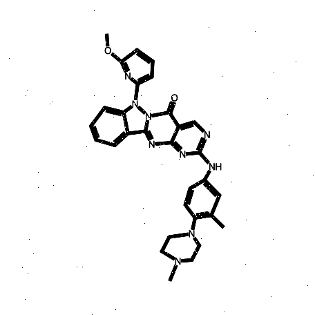 COc1cccc(-n2c3ccccc3c3nc4nc(Nc5ccc(N6CCN(C)CC6)c(C)c5)ncc4c(=O)n32)n1